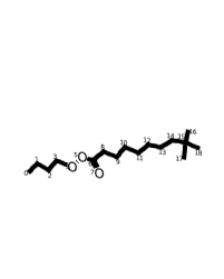 CCCCOOC(=O)CCCCCCCC(C)(C)C